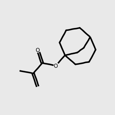 C=C(C)C(=O)OC12CCCC(CCC1)CC2